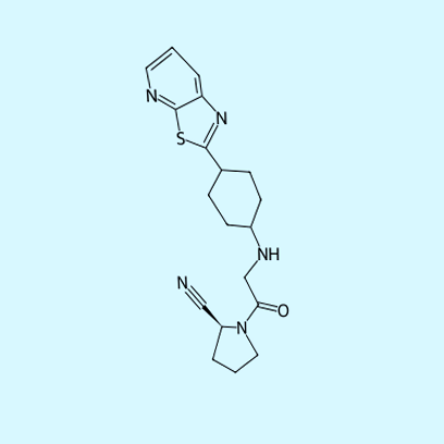 N#C[C@@H]1CCCN1C(=O)CNC1CCC(c2nc3cccnc3s2)CC1